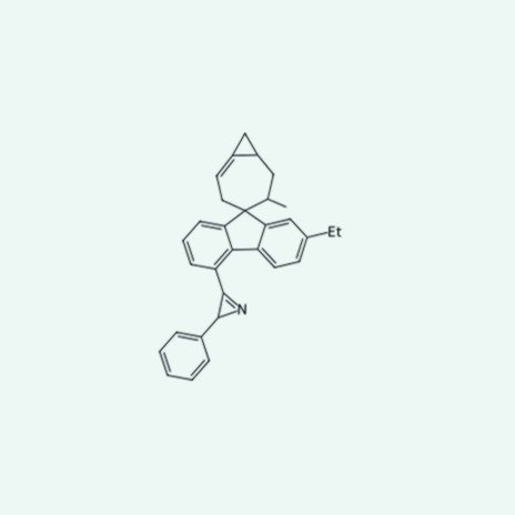 CCc1ccc2c(c1)C1(CC=C3CC3CC1C)c1cccc(C3=NC3c3ccccc3)c1-2